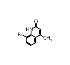 Cc1cc(=O)[nH]c2c(Br)cccc12